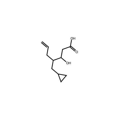 C=CCC(CC1CC1)C(O)CC(=O)O